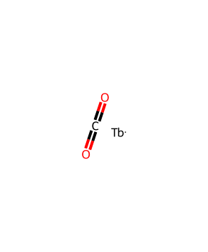 O=C=O.[Tb]